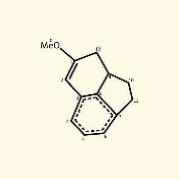 COC1=Cc2cccc3c2C(CC3)C1